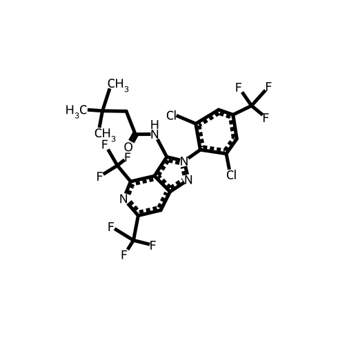 CC(C)(C)CC(=O)Nc1c2c(C(F)(F)F)nc(C(F)(F)F)cc2nn1-c1c(Cl)cc(C(F)(F)F)cc1Cl